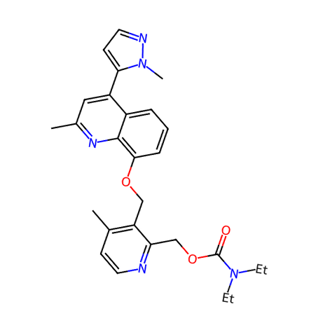 CCN(CC)C(=O)OCc1nccc(C)c1COc1cccc2c(-c3ccnn3C)cc(C)nc12